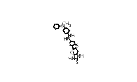 CN(c1ccccc1)c1ccc(NNc2cc3sc(/C=C4/NC(=S)NC4=O)cc3s2)cc1